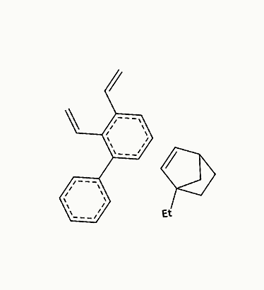 C=Cc1cccc(-c2ccccc2)c1C=C.CCC12C=CC(CC1)C2